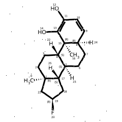 C[C@]12CC[C@H]3[C@@H](CC[C@@H]4C=CC(O)=C(O)[C@@]43C)[C@@H]1C[C@@H](F)C2